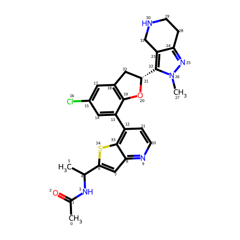 CC(=O)NC(C)c1cc2nccc(-c3cc(Cl)cc4c3O[C@@H](c3c5c(nn3C)CCNC5)C4)c2s1